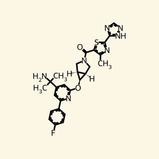 Cc1nc(-c2ncn[nH]2)sc1C(=O)N1C[C@@H]2[C@H](C1)[C@@H]2Oc1cc(C(C)(C)N)cc(-c2ccc(F)cc2)n1